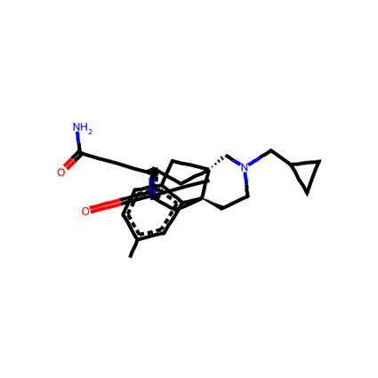 Cc1ccc2c(c1)[C@]13CCN(CC4CC4)C[C@@]1(C2)Cc1cc(C(N)=O)c(=O)[nH]c1C3